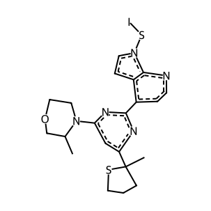 CC1COCCN1c1cc(C2(C)CCCS2)nc(-c2ccnc3c2ccn3SI)n1